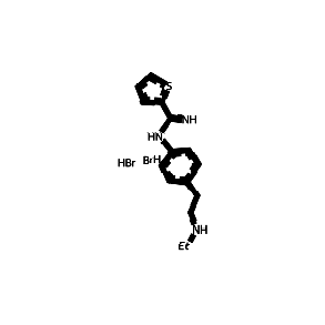 Br.Br.CCNCCc1ccc(NC(=N)c2cccs2)cc1